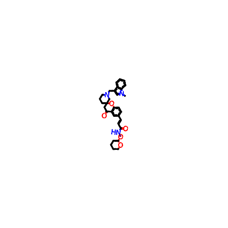 Cn1cc(CN2CCCC3(CC(=O)c4cc(C=CC(=O)NOC5CCCCO5)ccc4O3)C2)c2ccccc21